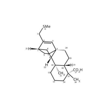 CSCC1=C[C@]23CC[C@H]1C[C@H]2[C@]1(C)CCC[C@@](C)(C(=O)O)[C@H]1CC3